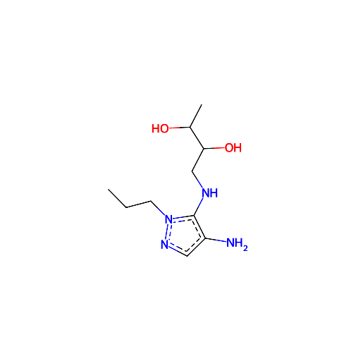 CCCn1ncc(N)c1NCC(O)C(C)O